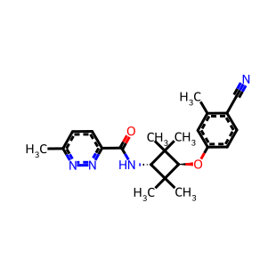 Cc1ccc(C(=O)N[C@H]2C(C)(C)[C@H](Oc3ccc(C#N)c(C)c3)C2(C)C)nn1